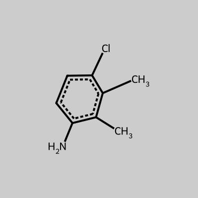 Cc1c(N)ccc(Cl)c1C